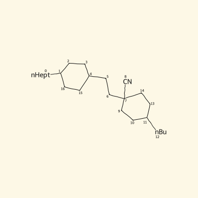 CCCCCCCC1CCC(CCC2(C#N)CCC(CCCC)CC2)CC1